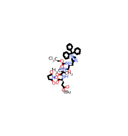 CC(C)(C)OC(=O)CC[C@H](NC(=O)C(C)(C)NC(=O)[C@H](Cc1cn(C(c2ccccc2)(c2ccccc2)c2ccccc2)cn1)NC(=O)OCC(Cl)(Cl)Cl)C(=O)ON1C(=O)CCC1=O